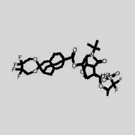 CC(OC(=O)C1C2OC3C1C(=O)N(C(C)(C)C)C3C2OC(=O)C12CCC3CC4(OCC(F)(F)C(F)(F)CO4)C(CC3C1)C2)C(F)(F)S(=O)(=O)O